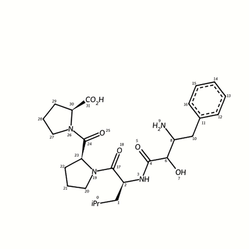 CC(C)C[C@H](NC(=O)C(O)C(N)Cc1ccccc1)C(=O)N1CCC[C@H]1C(=O)N1CCC[C@H]1C(=O)O